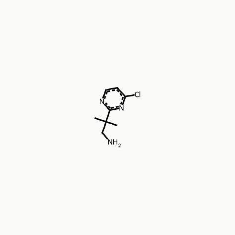 CC(C)(CN)c1nccc(Cl)n1